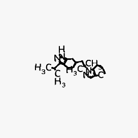 CC(C)c1n[nH]c2c1CCC(CC(C)(C)n1ncc3c1CCCC3)C2